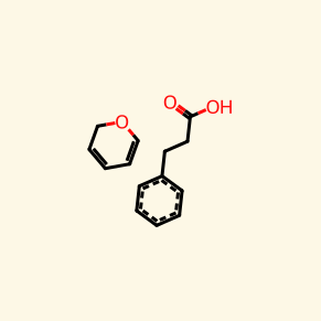 C1=CCOC=C1.O=C(O)CCc1ccccc1